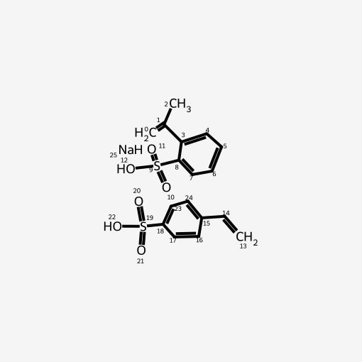 C=C(C)c1ccccc1S(=O)(=O)O.C=Cc1ccc(S(=O)(=O)O)cc1.[NaH]